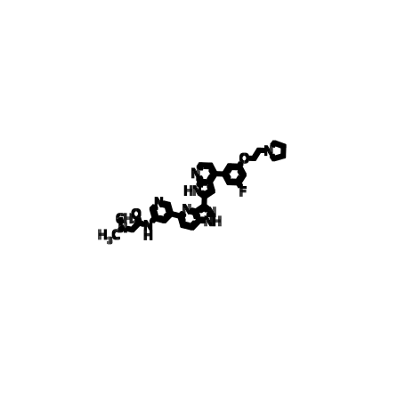 CN(C)CC(=O)Nc1cncc(-c2ccc3[nH]nc(-c4cc5c(-c6cc(F)cc(OCCN7CCCC7)c6)ccnc5[nH]4)c3n2)c1